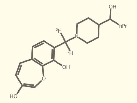 [2H]C([2H])(c1ccc2c(c1O)OC=C(O)C=C2)N1CCC(C(O)CCC)CC1